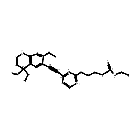 CCOC(=O)CCCCc1nccc(C#Cc2cc3c(cc2CC)OCCC3(CC)CC)n1